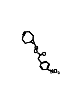 O=C(Cc1ccc([N+](=O)[O-])cc1)OOC1C2CCC#CCCC21